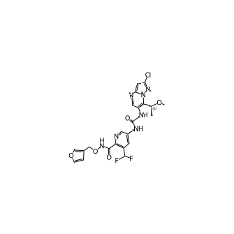 CO[C@@H](C)c1c(NC(=O)Nc2cnc(C(=O)NOCc3ccoc3)c(C(F)F)c2)cnc2cc(Cl)nn12